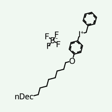 CCCCCCCCCCCCCCCCCCOc1ccc([I+]Cc2ccccc2)cc1.F[B-](F)(F)F